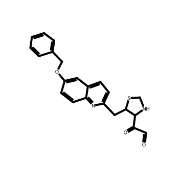 O=CC(=O)C1NCSC1Cc1ccc2cc(OCc3ccccc3)ccc2n1